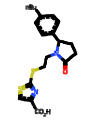 CCCCc1ccc(C2CCC(=O)N2CCSc2nc(C(=O)O)cs2)cc1